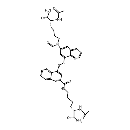 CC(=O)N[C@@H](CCCCNC(=O)c1cc(SSc2cc(N(C=O)CCCC[C@@H](NC(C)=O)C(N)=O)cc3cccnc23)c2ncccc2c1)C(N)=O